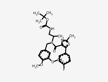 COc1ccc(CN(C(=O)c2nc(C)sc2-c2ccc(F)cc2)C(C)CNC(=O)OC(C)(C)C)cc1OC